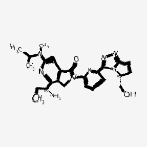 CC[C@@H](N)c1nc(N(C)C(C)C)cc2c1CN(c1cccc(-c3nnc4n3[C@@H](CO)CC4)n1)C2=O